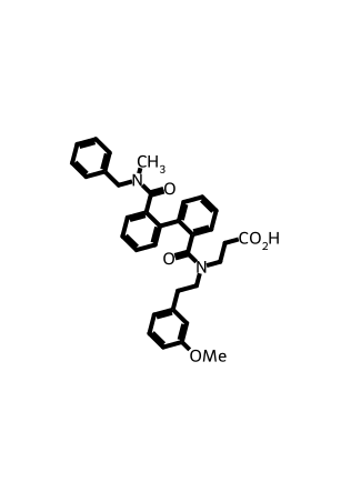 COc1cccc(CCN(CCC(=O)O)C(=O)c2ccccc2-c2ccccc2C(=O)N(C)Cc2ccccc2)c1